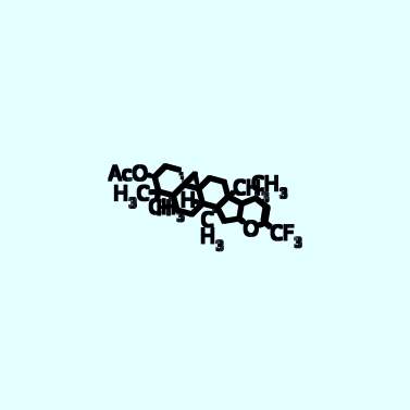 CC(=O)O[C@H]1CC[C@]23C[C@]24CC[C@]2(C)C5C(C[C@@]2(C)[C@@H]4CC[C@H]3C1(C)C)OC(C(F)(F)F)=C[C@H]5C